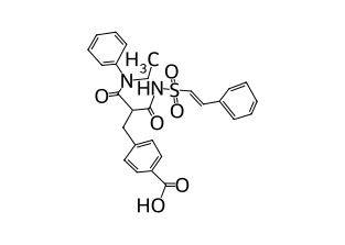 CCN(C(=O)C(Cc1ccc(C(=O)O)cc1)C(=O)NS(=O)(=O)C=Cc1ccccc1)c1ccccc1